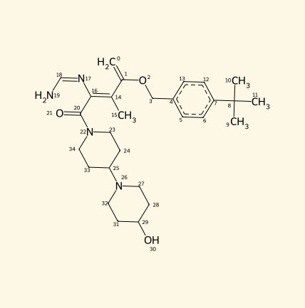 C=C(OCc1ccc(C(C)(C)C)cc1)/C(C)=C(\N=C/N)C(=O)N1CCC(N2CCC(O)CC2)CC1